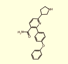 NC(=O)c1ccc(C2CCNC2)nc1-c1ccc(Oc2ccccc2)cc1